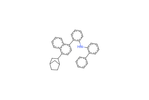 c1ccc(-c2ccccc2Nc2ccccc2-c2ccc(C3CC4CCC3C4)c3ccccc23)cc1